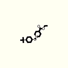 CCOC(=O)C1CCN(O[C@H]2CC[C@H](C(C)(C)C)CC2)CC1